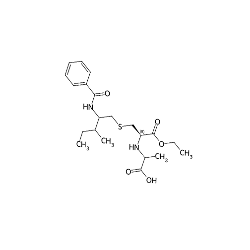 CCOC(=O)[C@H](CSCC(NC(=O)c1ccccc1)C(C)CC)NC(C)C(=O)O